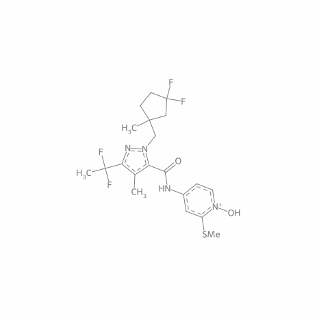 CSc1cc(NC(=O)c2c(C)c(C(C)(F)F)nn2CC2(C)CCC(F)(F)C2)cc[n+]1O